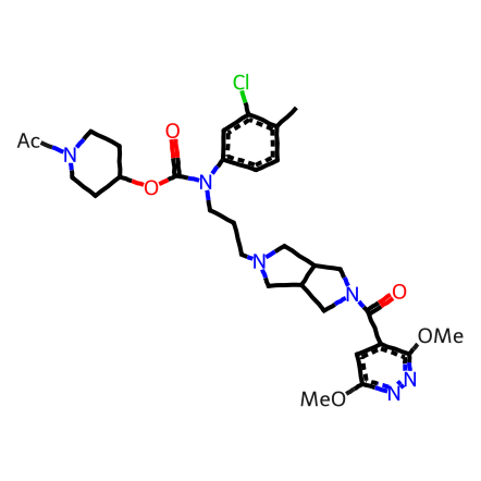 COc1cc(C(=O)N2CC3CN(CCCN(C(=O)OC4CCN(C(C)=O)CC4)c4ccc(C)c(Cl)c4)CC3C2)c(OC)nn1